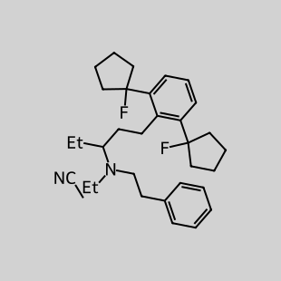 CC#N.CCC(CCc1c(C2(F)CCCC2)cccc1C1(F)CCCC1)N(CC)CCc1ccccc1